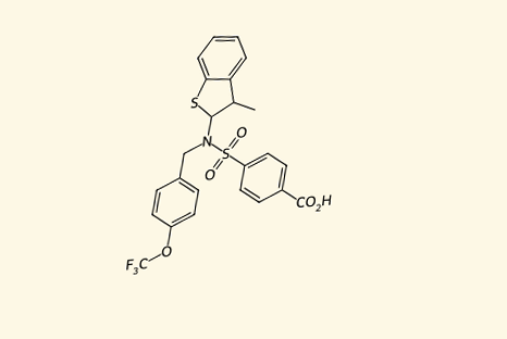 CC1c2ccccc2SC1N(Cc1ccc(OC(F)(F)F)cc1)S(=O)(=O)c1ccc(C(=O)O)cc1